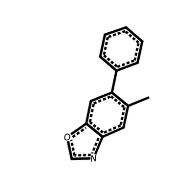 Cc1cc2ncoc2cc1-c1ccccc1